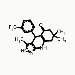 Cc1[nH]nc2c1C(c1cccc(C(F)(F)F)c1)C1=C(CC(C)(C)CC1=O)N2